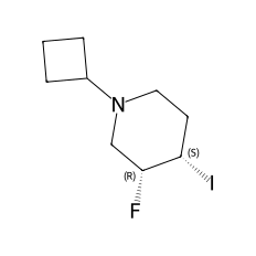 F[C@@H]1CN(C2CCC2)CC[C@@H]1I